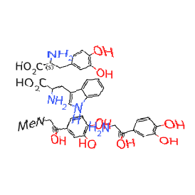 CNC[C@H](O)c1ccc(O)c(O)c1.NC(Cc1c[nH]c2ccccc12)C(=O)O.NC[C@H](O)c1ccc(O)c(O)c1.N[C@@H](Cc1ccc(O)c(O)c1)C(=O)O